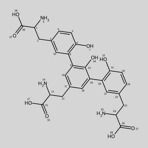 NC(Cc1ccc(O)c(-c2cc(CC(N)C(=O)O)cc(-c3cc(CC(N)C(=O)O)ccc3O)c2O)c1)C(=O)O